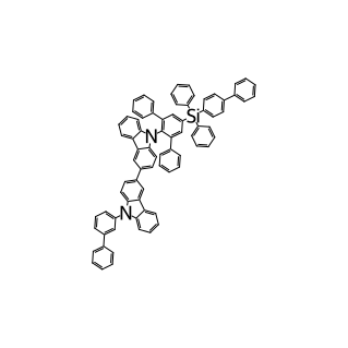 c1ccc(-c2ccc([Si](c3ccccc3)(c3ccccc3)c3cc(-c4ccccc4)c(-n4c5ccccc5c5cc(-c6ccc7c(c6)c6ccccc6n7-c6cccc(-c7ccccc7)c6)ccc54)c(-c4ccccc4)c3)cc2)cc1